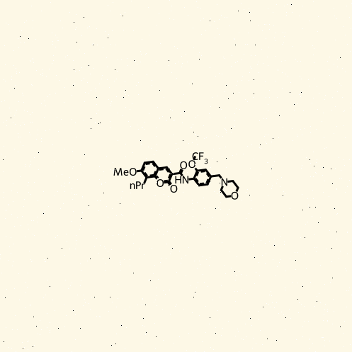 CCCc1c(OC)ccc2cc(C(=O)Nc3ccc(CN4CCOCC4)cc3OC(F)(F)F)c(=O)oc12